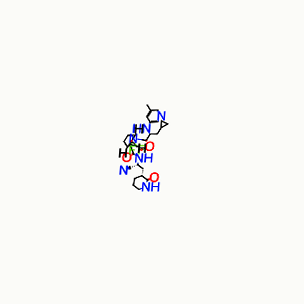 Cc1cncc(N[C@@H](CC2CC2)C(=O)N2[C@@H]3CC[C@H]([C@H]2C(=O)N[C@@H](C#N)C[C@H]2CCCNC2=O)C(F)(F)C3)c1